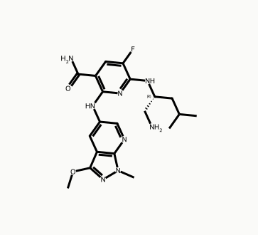 COc1nn(C)c2ncc(Nc3nc(N[C@@H](CN)CC(C)C)c(F)cc3C(N)=O)cc12